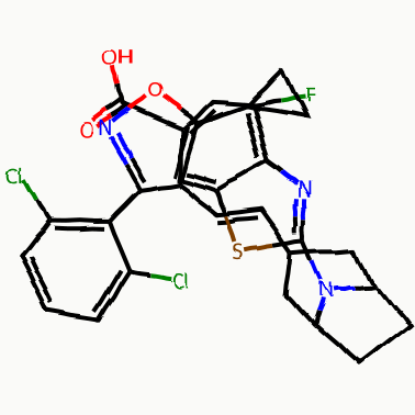 O=C(O)c1cc(F)c2nc(N3C4CCC3CC(C=Cc3c(-c5c(Cl)cccc5Cl)noc3C3CC3)C4)sc2c1